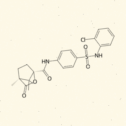 CC1(C)[C@@]2(C(=O)Nc3ccc(S(=O)(=O)Nc4ccccc4Cl)cc3)CC[C@]1(C)C(=O)O2